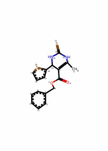 CC1=C(C(=O)OCc2ccccc2)C(c2cccs2)NC(=S)N1